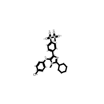 Cn1c(C2CCCCC2)nc(-c2ccc(S(=O)(=O)S(C)(=O)=O)cc2)c1Sc1ccc(Cl)cc1